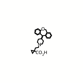 O=C(O)C1(CCN2CCC(=C3c4ccccc4COc4ccccc43)CC2)CC1